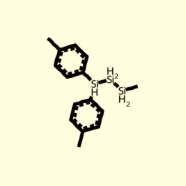 C[SiH2][SiH2][SiH](c1ccc(C)cc1)c1ccc(C)cc1